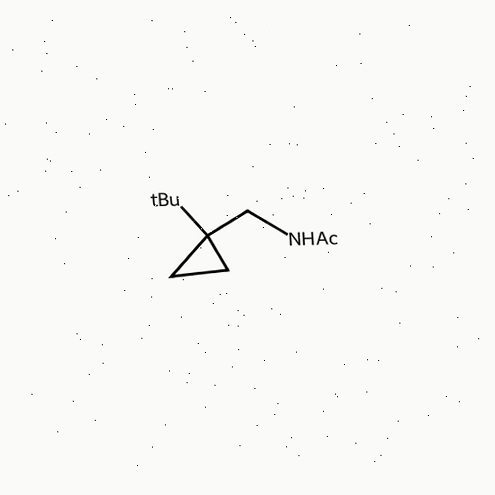 CC(=O)NCC1(C(C)(C)C)CC1